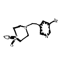 O=S1(=O)CCN(Cc2cncc(Br)c2)CC1